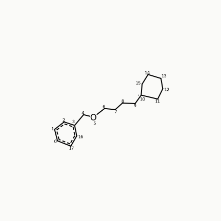 c1ccc(COCCCC[C]2CCCCC2)cc1